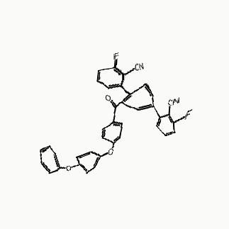 N#Cc1c(F)cccc1-c1ccc(-c2cccc(F)c2C#N)c(C(=O)c2ccc(Oc3ccc(Oc4ccccc4)cc3)cc2)c1